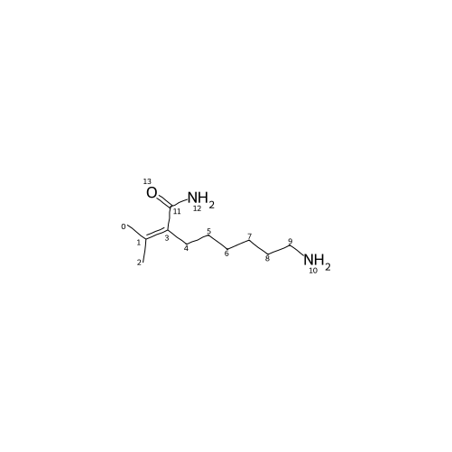 CC(C)=C(CCCCCCN)C(N)=O